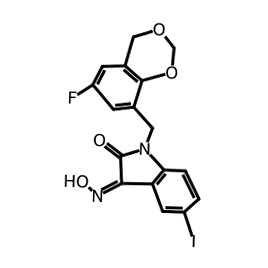 O=C1/C(=N\O)c2cc(I)ccc2N1Cc1cc(F)cc2c1OCOC2